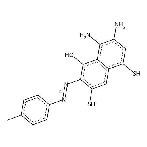 Cc1ccc(/N=N/c2c(S)cc3c(S)cc(N)c(N)c3c2O)cc1